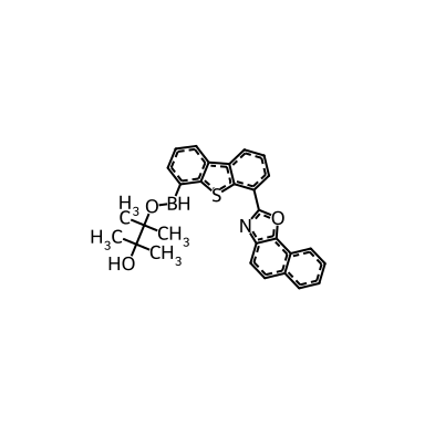 CC(C)(O)C(C)(C)OBc1cccc2c1sc1c(-c3nc4ccc5ccccc5c4o3)cccc12